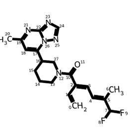 C=C/C(=C\C=C(/C)C(F)F)C(=O)N1CCCC(c2cc(C)nc3ncnn23)C1